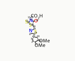 COc1ccc(-c2cnc(/C=C3\SC(=S)N(CC(=O)O)C3=O)s2)cc1OC